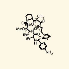 CC[C@H](C)[C@@H]([C@@H](CC(=O)N1CCCC1[C@H](OC)[C@@H](C)C(=O)NCCn1ccnc1)OC)N(C)C(=O)C(NC(=O)c1ccc(N)cc1)C(C)C